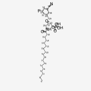 CCCCCCCCCCCCCCCCCC(=O)NCC(COP(=O)(O)O)OCc1cc(F)cc(C#N)c1